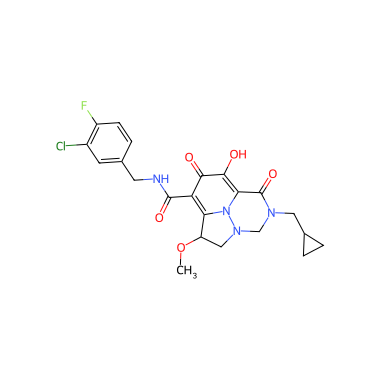 COC1CN2CN(CC3CC3)C(=O)c3c(O)c(=O)c(C(=O)NCc4ccc(F)c(Cl)c4)c1n32